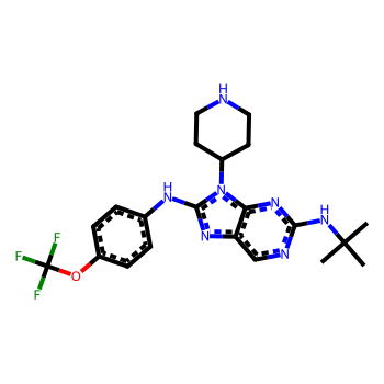 CC(C)(C)Nc1ncc2nc(Nc3ccc(OC(F)(F)F)cc3)n(C3CCNCC3)c2n1